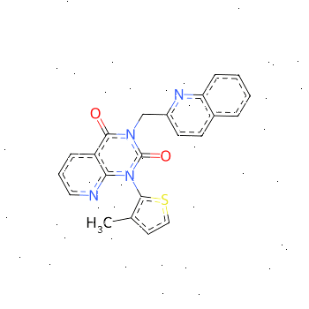 Cc1ccsc1-n1c(=O)n(Cc2ccc3ccccc3n2)c(=O)c2cccnc21